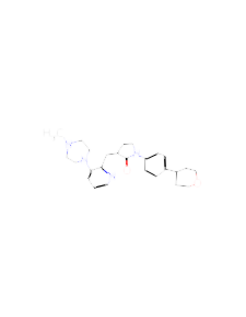 CN1CCN(c2cccnc2CC2CCN(c3ccc(C4CCOCC4)cc3)C2=O)CC1